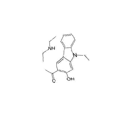 CCNCC.CCn1c2ccccc2c2cc(C(C)=O)c(O)cc21